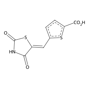 O=C1NC(=O)/C(=C/c2ccc(C(=O)O)s2)S1